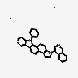 c1ccc(-n2c3ccccc3c3ccc4c5ccn(-c6cncc7ccccc67)c5ccc4c32)cc1